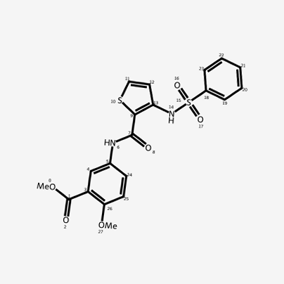 COC(=O)c1cc(NC(=O)c2sccc2NS(=O)(=O)c2ccccc2)ccc1OC